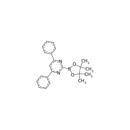 CC1(C)OB(c2nc(-c3ccccc3)cc(-c3ccccc3)n2)OC1(C)C